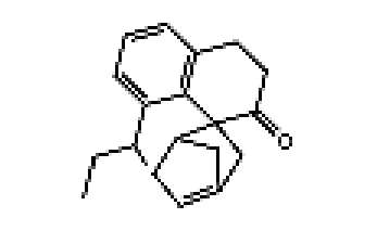 CCC(C)c1cccc2c1C1(CC3=CCC1C3)C(=O)CC2